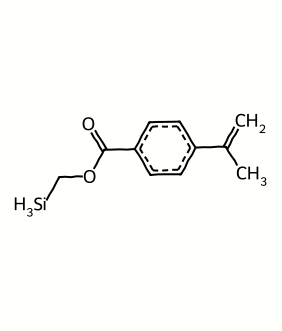 C=C(C)c1ccc(C(=O)OC[SiH3])cc1